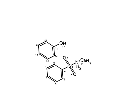 NS(=O)(=O)c1ccccc1.Oc1ccccc1.[CaH2]